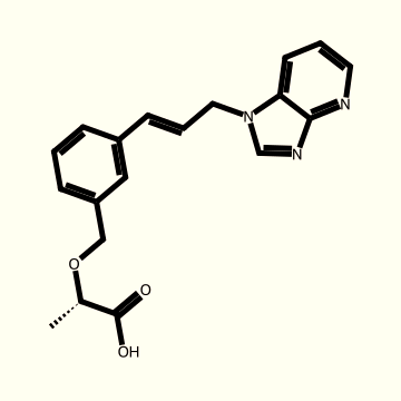 C[C@H](OCc1cccc(/C=C/Cn2cnc3ncccc32)c1)C(=O)O